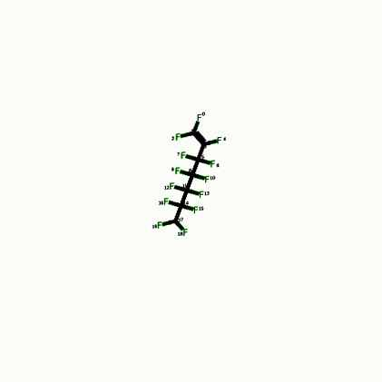 FC(F)=C(F)C(F)(F)C(F)(F)C(F)(F)C(F)(F)C(F)F